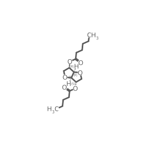 CCCCCC(=O)O[C@@H]1CO[C@H]2[C@@H]1OC[C@@H]2OC(=O)CCCC